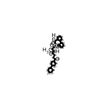 CC1C(=O)N(NC(=O)[C@H](C)NC(=O)CCC(=O)c2ccc(-c3ccccc3)cc2)c2ccccc2-c2ccccc21